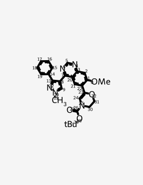 COc1cc2ncnc(-c3cn(C)nc3-c3ccccc3)c2cc1C1=CN(C(=O)OC(C)(C)C)CCO1